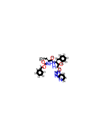 CC(C)C[C@H](NC(=O)OCc1ccccc1)C(=O)N[C@@H](Cc1ccccc1)C(=O)COn1nnc2ncccc21